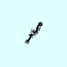 Cc1c(C#Cc2cnn(C)c2)sc2c1SC[C@H](NC(=O)c1cc(Cc3ccccc3)n(C)n1)C(=O)N2C